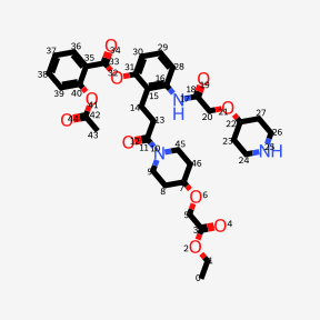 CCOC(=O)COC1CCN(C(=O)CCc2c(NC(=O)COC3CCNCC3)cccc2OC(=O)c2ccccc2OC(C)=O)CC1